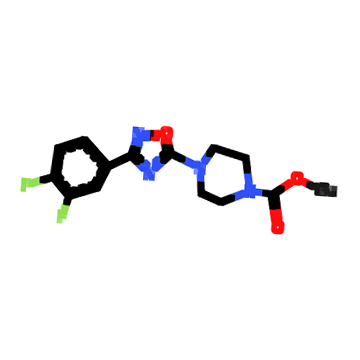 CC(C)(C)OC(=O)N1CCN(c2nc(-c3ccc(F)c(F)c3)no2)CC1